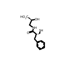 O=C(NC[C@H](O)C(=O)O)[C@H](CS)Cc1ccccc1